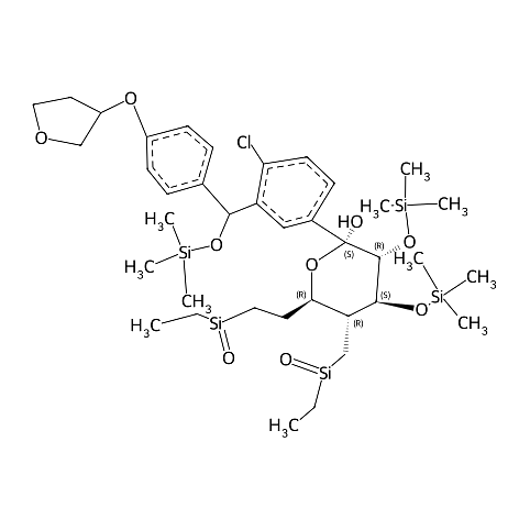 CC[Si](=O)CC[C@H]1O[C@@](O)(c2ccc(Cl)c(C(O[Si](C)(C)C)c3ccc(OC4CCOC4)cc3)c2)[C@H](O[Si](C)(C)C)[C@@H](O[Si](C)(C)C)[C@@H]1C[Si](=O)CC